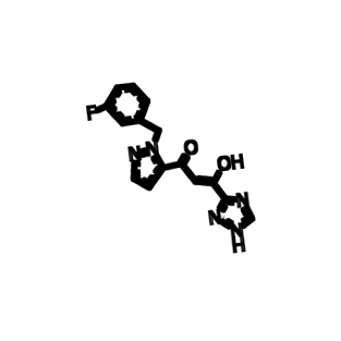 O=C(C=C(O)c1nc[nH]n1)c1ccnn1Cc1cccc(F)c1